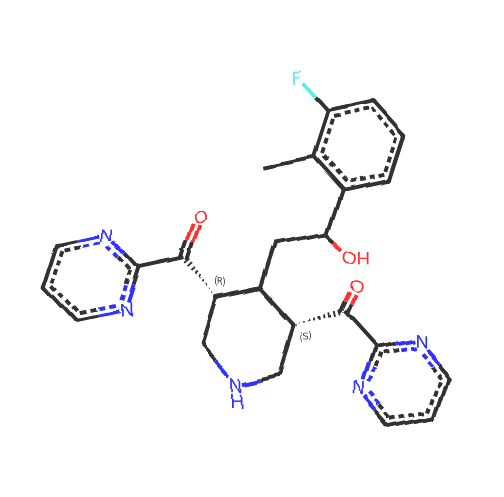 Cc1c(F)cccc1C(O)CC1[C@@H](C(=O)c2ncccn2)CNC[C@H]1C(=O)c1ncccn1